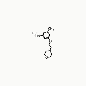 CNc1cc(C)cc(OCCN2CCOCC2)c1